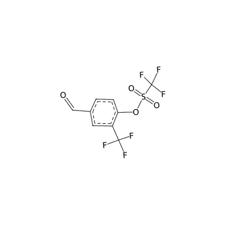 O=Cc1ccc(OS(=O)(=O)C(F)(F)F)c(C(F)(F)F)c1